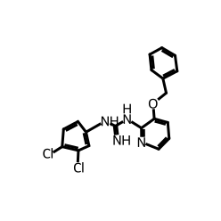 N=C(Nc1ccc(Cl)c(Cl)c1)Nc1ncccc1OCc1ccccc1